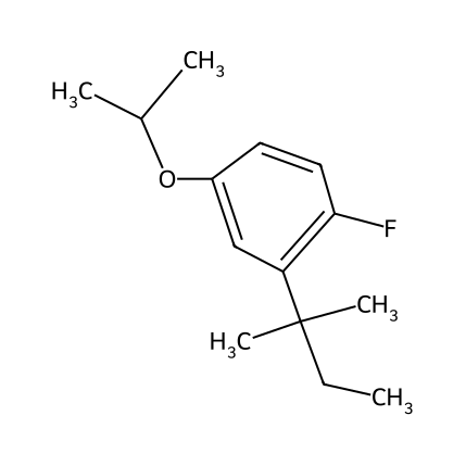 CCC(C)(C)c1cc(OC(C)C)ccc1F